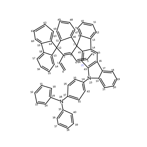 C=CC1=C(/C=C\C)C2(c3ccccc3-c3cc4c5ccccc5n(-c5ccc(N(c6ccccc6)c6ccccc6)cc5)c4cc32)c2ccccc2C12c1ccccc1-c1ccccc12